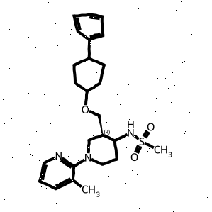 Cc1cccnc1N1CCC(NS(C)(=O)=O)[C@H](COC2CCC(c3ccccc3)CC2)C1